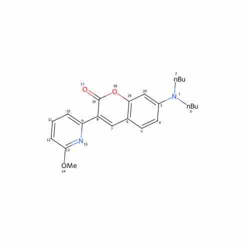 CCCCN(CCCC)c1ccc2cc(-c3cccc(OC)n3)c(=O)oc2c1